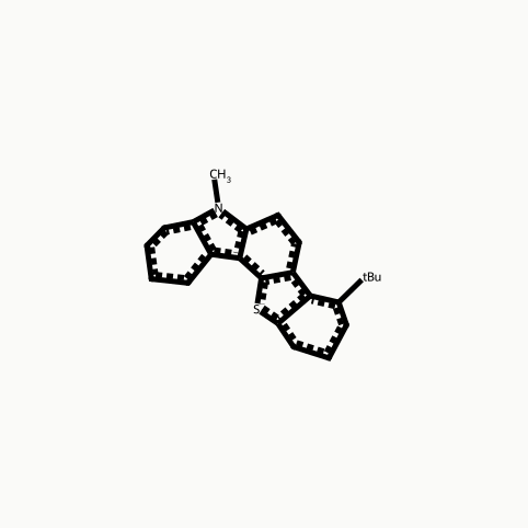 Cn1c2ccccc2c2c3sc4cccc(C(C)(C)C)c4c3ccc21